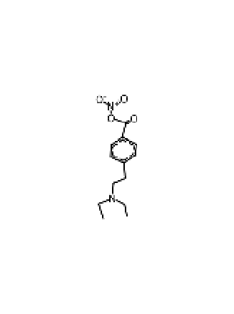 CCN(CC)CCc1ccc(C(=O)O[N+](=O)[O-])cc1